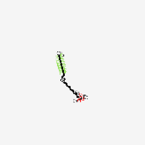 CCO[Si](CCCCCCCCC[Si](C)(C)CCC(F)(F)C(F)(F)C(F)(F)C(F)(F)C(F)(F)C(F)(F)C(F)(F)C(F)(F)F)(OCC)OCC